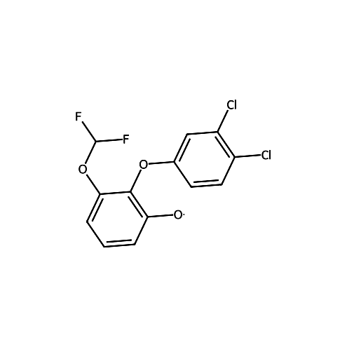 [O]c1cccc(OC(F)F)c1Oc1ccc(Cl)c(Cl)c1